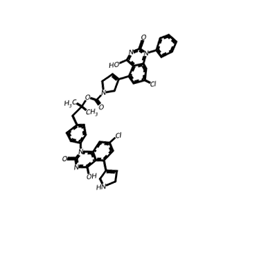 CC(C)(Cc1ccc(-n2c(=O)nc(O)c3c(C4=CCNC4)cc(Cl)cc32)cc1)OC(=O)N1CC=C(c2cc(Cl)cc3c2c(O)nc(=O)n3-c2ccccc2)C1